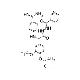 COc1cc(C(Nc2ccc(C(=N)N)cc2)C(=O)NNC(=O)c2cccnc2)ccc1OC(C)C